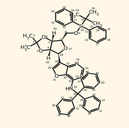 CC1(C)O[C@@H]2[C@H](O1)[C@@H](CO[Si](c1ccccc1)(c1ccccc1)C(C)(C)C)O[C@H]2c1coc2c(NC(c3ccccc3)(c3ccccc3)c3ccccc3)ncnc12